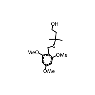 COc1cc(OC)c(CSC(C)(C)CCO)c(OC)c1